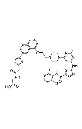 Cc1nc(Nc2ncc(C(=O)Nc3c(C)cccc3Cl)s2)cc(N2CCN(CCOc3cccc4ccc(-c5nc(CC(=O)NCC(=O)O)cs5)cc34)CC2)n1